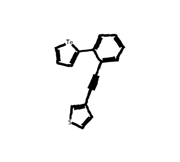 C(#Cc1ccccc1-c1ccc[te]1)c1ccsc1